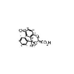 CC(C)C1(c2ccccc2)OC(C(=O)O)Oc2ccc(Cl)cc21